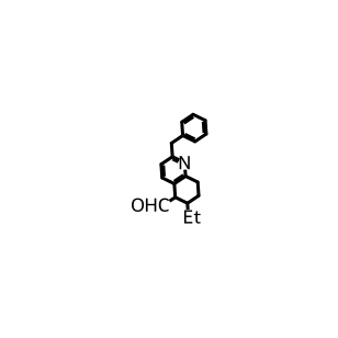 CCC1CCc2nc(Cc3ccccc3)ccc2C1C=O